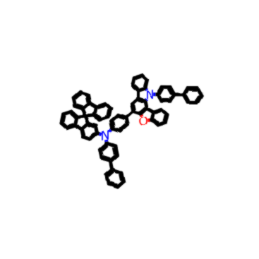 c1ccc(-c2ccc(N(c3ccc(-c4cc5c6ccccc6n(-c6ccc(-c7ccccc7)cc6)c5c5c4oc4ccccc45)cc3)c3ccc4c(c3)C3(c5ccccc5-c5ccccc53)c3ccccc3-4)cc2)cc1